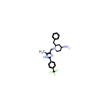 Cc1[nH]c(-c2ccc(C(F)(F)F)cc2)nc1CN1CCC(N)CC1Cc1ccccc1